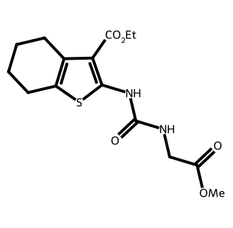 CCOC(=O)c1c(NC(=O)NCC(=O)OC)sc2c1CCCC2